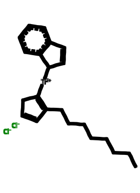 CCCCCCCCC1=[C]([Ti+2][CH]2C=Cc3ccccc32)CC=C1.[Cl-].[Cl-]